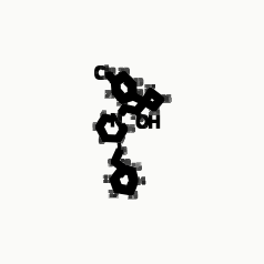 O[C@@H](CN1CCC[C@@H](CCc2ccccc2)C1)C1(c2ccc(Cl)cc2)CCC1